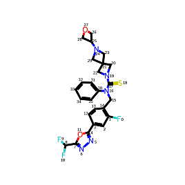 Fc1cc(-c2nnc(C(F)F)o2)ccc1CN(C(=S)N1CC2(C1)CN(C1COC1)C2)c1ccccc1